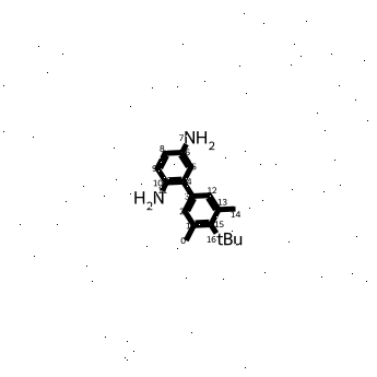 Cc1cc(-c2cc(N)ccc2N)cc(C)c1C(C)(C)C